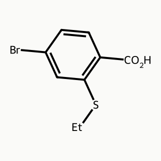 CCSc1cc(Br)ccc1C(=O)O